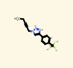 CCC#CCn1cc(-c2ccc(C(F)(F)F)cc2)nn1